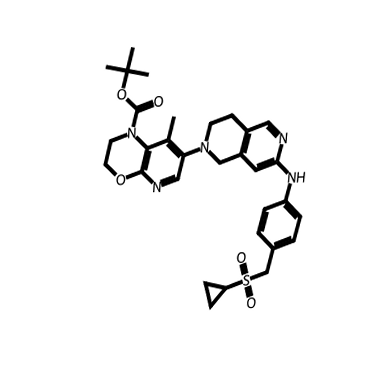 Cc1c(N2CCc3cnc(Nc4ccc(CS(=O)(=O)C5CC5)cc4)cc3C2)cnc2c1N(C(=O)OC(C)(C)C)CCO2